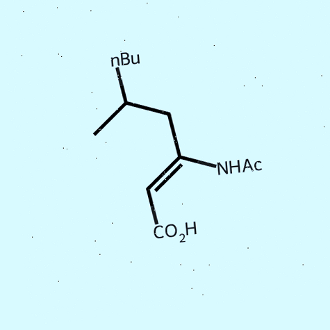 CCCCC(C)CC(=CC(=O)O)NC(C)=O